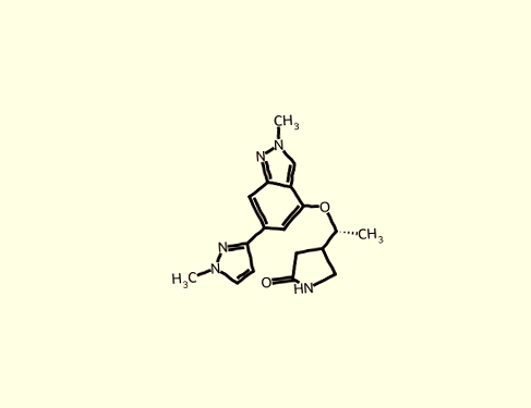 C[C@@H](Oc1cc(-c2ccn(C)n2)cc2nn(C)cc12)C1CNC(=O)C1